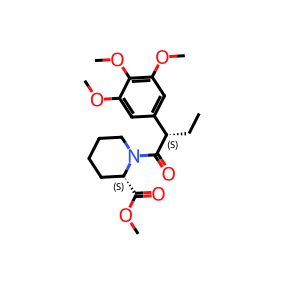 CC[C@H](C(=O)N1CCCC[C@H]1C(=O)OC)c1cc(OC)c(OC)c(OC)c1